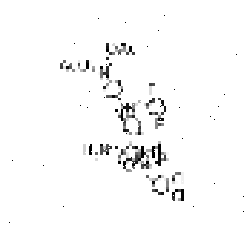 CC(=O)OCCN(CCOC(C)=O)c1ccc(-c2nc3cc(C(NC(=O)[C@@H](N)Cc4ccc(Cl)c(Cl)c4)C(C=O)CN)ccc3n2Cc2cc(F)ccc2F)cc1